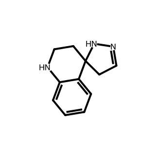 C1=NNC2(C1)CCNc1ccccc12